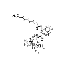 CCCCCCCCOC(=O)COc1ccccc1NC(=O)C(=O)NC1CC(C)(C)NC(C)(C)C1